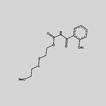 COCCSSCCOC(=O)NC(=O)c1ccccc1OC(C)=O